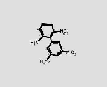 Cc1cccc([N+](=O)[O-])c1.Cc1cccc([N+](=O)[O-])c1